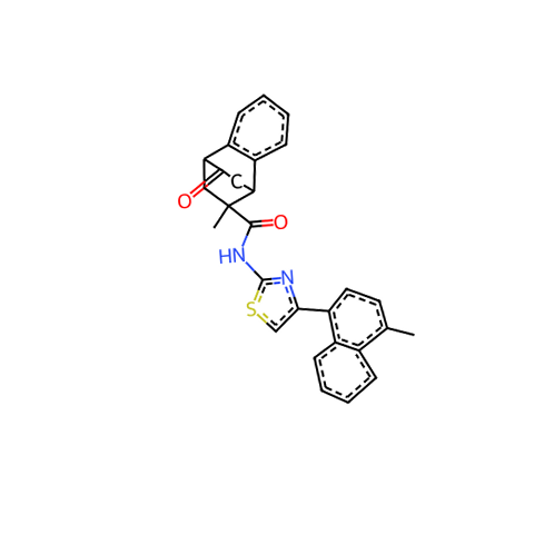 Cc1ccc(-c2csc(NC(=O)C3(C)CC4C(=O)CC3c3ccccc34)n2)c2ccccc12